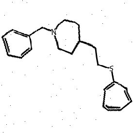 c1ccc(CN2CCC(CCSc3ccccc3)CC2)cc1